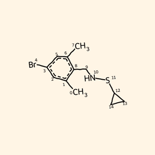 Cc1cc(Br)cc(C)c1CNSC1CC1